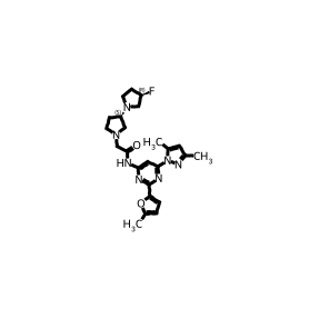 Cc1cc(C)n(-c2cc(NC(=O)CN3CC[C@H](N4CC[C@@H](F)C4)C3)nc(-c3ccc(C)o3)n2)n1